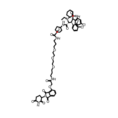 CCN1[C@@H](C(=O)NC23CCC(C(=O)NCCCOCCOCCOCCCNC(=O)COc4cccc5c4C(=O)N(C4CCC(=O)NC4=O)C5=O)(CC2)CC3)[C@H](c2cccc(Cl)c2F)[C@]2(C(=O)Nc3cc(Cl)ccc32)C12CCCCC2